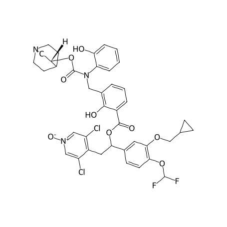 O=C(OC(Cc1c(Cl)c[n+]([O-])cc1Cl)c1ccc(OC(F)F)c(OCC2CC2)c1)c1cccc(CN(C(=O)O[C@H]2CN3CCC2CC3)c2ccccc2O)c1O